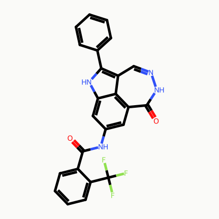 O=C(Nc1cc2c3c(c(-c4ccccc4)[nH]c3c1)C=NNC2=O)c1ccccc1C(F)(F)F